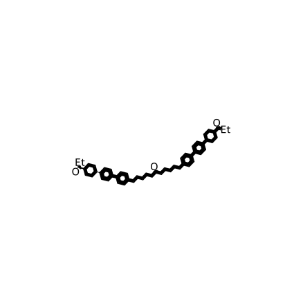 CCC(=O)C1CCC(c2ccc(-c3ccc(CCCCCC(=O)CCCCCc4ccc(-c5ccc([C@H]6CC[C@H](C(=O)CC)CC6)cc5)cc4)cc3)cc2)CC1